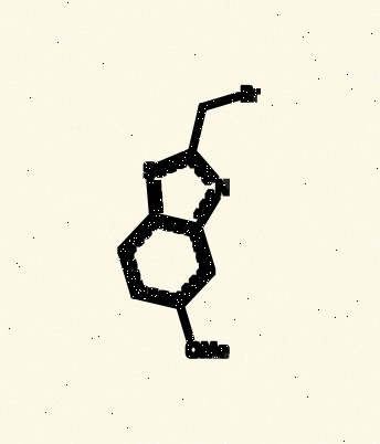 COc1ccc2sc(CBr)nc2c1